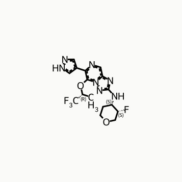 C[C@@H](Oc1c(-c2cn[nH]c2)ncc2nc(N[C@H]3CCOC[C@H]3F)nn12)C(F)(F)F